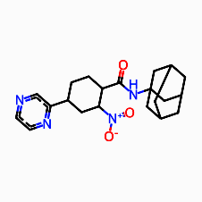 O=C(NC12CC3CC(CC(C3)C1)C2)C1CCC(c2cnccn2)CC1[N+](=O)[O-]